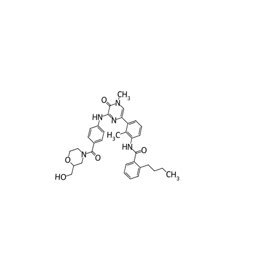 CCCCc1ccccc1C(=O)Nc1cccc(-c2cn(C)c(=O)c(Nc3ccc(C(=O)N4CCOC(CO)C4)cc3)n2)c1C